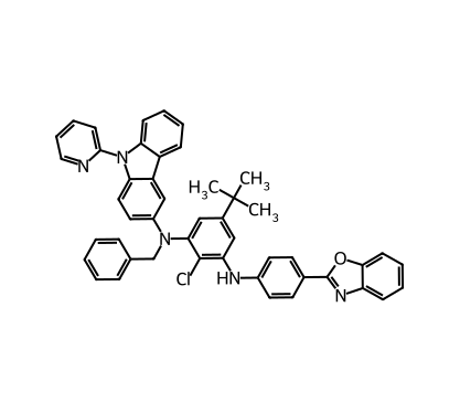 CC(C)(C)c1cc(Nc2ccc(-c3nc4ccccc4o3)cc2)c(Cl)c(N(Cc2ccccc2)c2ccc3c(c2)c2ccccc2n3-c2ccccn2)c1